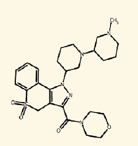 CN1CCCC(N2CCCC(n3nc(C(=O)N4CCOCC4)c4c3-c3ccccc3S(=O)(=O)C4)C2)C1